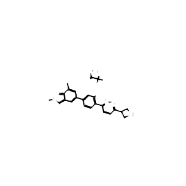 Cc1cc(-c2ccc(-c3ccc(C4CNC4)nn3)c(O)c2)cc2cn(C)nc12.O=C(O)C(F)(F)F